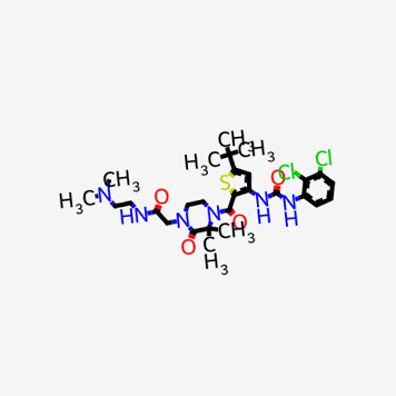 CN(C)CCNC(=O)CN1CCN(C(=O)c2sc(C(C)(C)C)cc2NC(=O)Nc2cccc(Cl)c2Cl)C(C)(C)C1=O